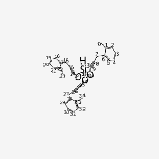 Cc1ccccc1CC#COC([SiH3])(OC#CCc1ccccc1C)OC#CCc1ccccc1C